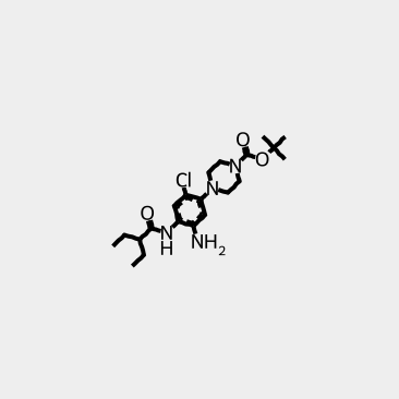 CCC(CC)C(=O)Nc1cc(Cl)c(N2CCN(C(=O)OC(C)(C)C)CC2)cc1N